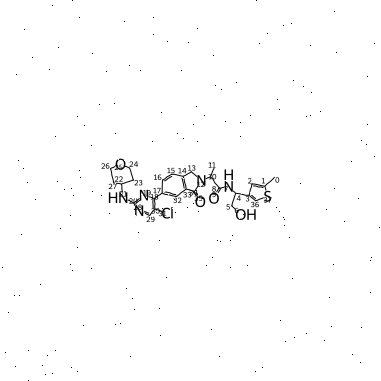 Cc1cc(C(CO)NC(=O)C(C)N2Cc3ccc(-c4nc(NC5CCOCC5)ncc4Cl)cc3C2=O)cs1